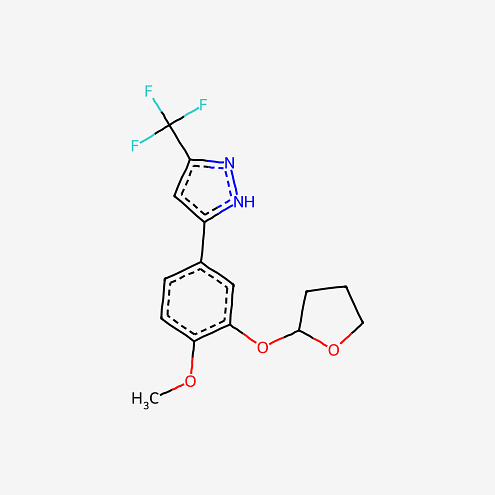 COc1ccc(-c2cc(C(F)(F)F)n[nH]2)cc1OC1CCCO1